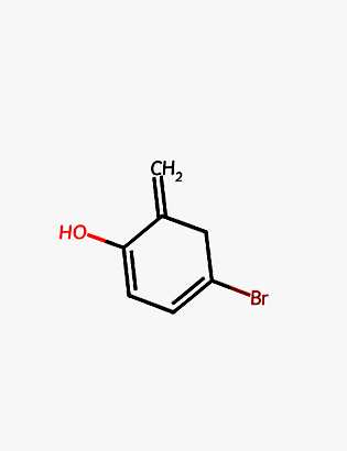 C=C1CC(Br)=CC=C1O